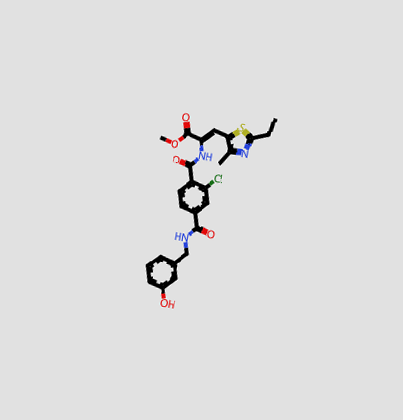 CCc1nc(C)c(C=C(NC(=O)c2ccc(C(=O)NCc3cccc(O)c3)cc2Cl)C(=O)OC)s1